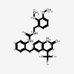 COc1cccc(CNC(=S)Nc2ccccc2Cc2ccc3[nH]c(=O)cc(C(F)(F)F)c3c2)c1OC